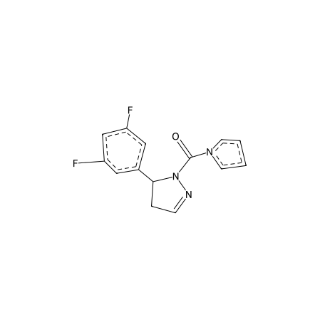 O=C(N1N=CCC1c1cc(F)cc(F)c1)n1cccc1